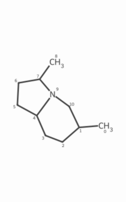 CC1CCC2CCC(C)N2C1